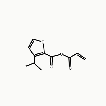 C=CC(=O)OC(=O)c1occc1C(C)C